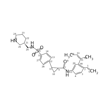 C=Cc1ccc(NC(=O)C2CC2c2ccc(S(=O)(=O)NC[C@@H]3CCCNC3)cc2)cc1/C(C)=C\C